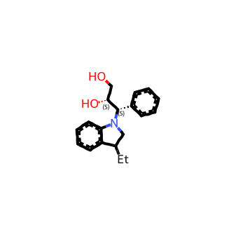 CCC1CN([C@@H](c2ccccc2)[C@H](O)CO)c2ccccc21